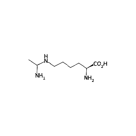 CC(N)NCCCC[C@H](N)C(=O)O